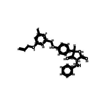 C=CCOc1cc(C)nc(COc2ccc(C3(C)OC(=O)N(Nc4ccccc4)C3=O)cc2)n1